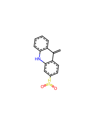 C=C1c2ccccc2Nc2cc([SH](=O)=O)ccc21